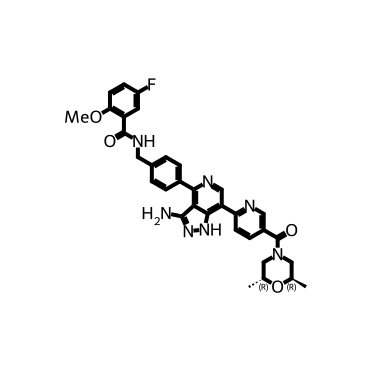 COc1ccc(F)cc1C(=O)NCc1ccc(-c2ncc(-c3ccc(C(=O)N4C[C@@H](C)O[C@H](C)C4)cn3)c3[nH]nc(N)c23)cc1